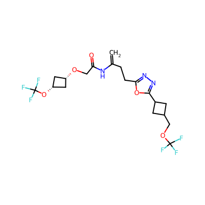 C=C(CCc1nnc(C2CC(COC(F)(F)F)C2)o1)NC(=O)CO[C@H]1C[C@@H](OC(F)(F)F)C1